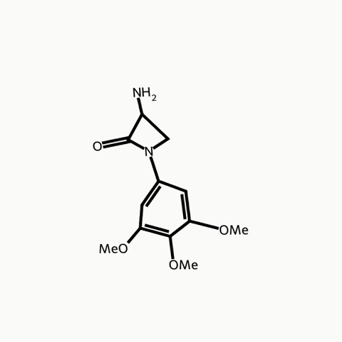 COc1cc(N2CC(N)C2=O)cc(OC)c1OC